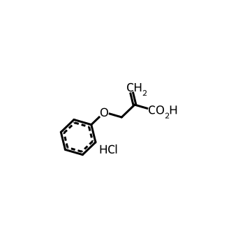 C=C(COc1ccccc1)C(=O)O.Cl